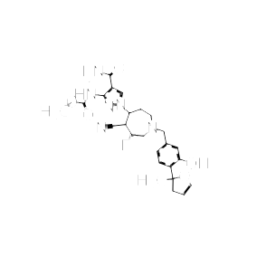 COC(=O)Nc1nn(C2CCN(Cc3ccc(C4(C)CC=CO4)c(O)c3)C[C@@H](F)C2C#N)cc1C(N)=O